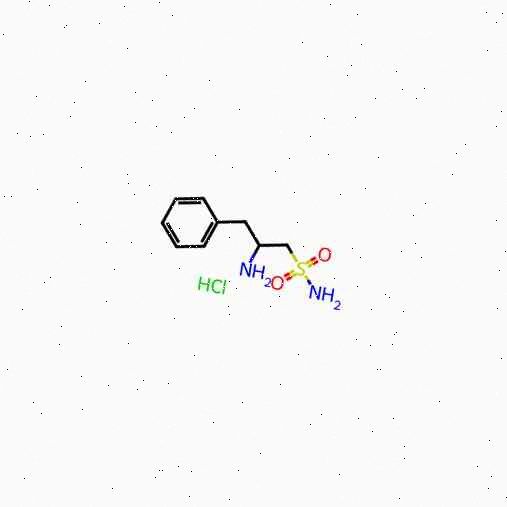 Cl.NC(Cc1ccccc1)CS(N)(=O)=O